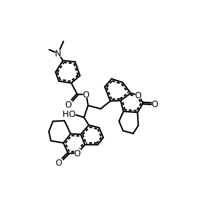 CN(C)c1ccc(C(=O)OC(Cc2cccc3oc(=O)c4c(c23)CCCC4)C(O)c2cccc3oc(=O)c4c(c23)CCCC4)cc1